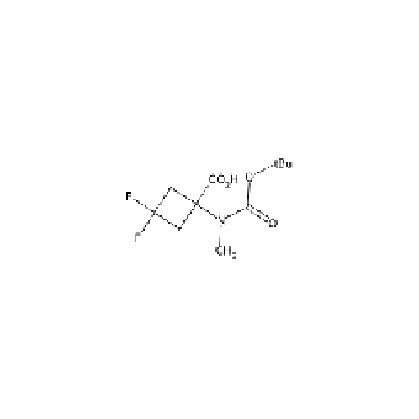 CN(C(=O)OC(C)(C)C)C1(C(=O)O)CC(F)(F)C1